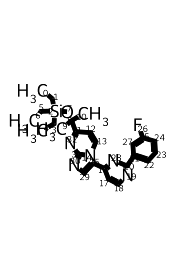 CC[Si](CC)(CC)OC(C)(C)c1ccn2c(-c3ccnc(-c4cccc(F)c4)n3)cnc2n1